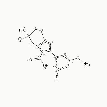 CC1(C)CCc2sc(-c3cc(F)cc(CN)c3)c(C(=O)O)c2C1